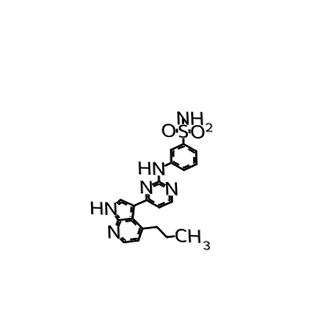 CCCc1ccnc2[nH]cc(-c3ccnc(Nc4cccc(S(N)(=O)=O)c4)n3)c12